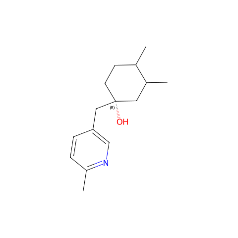 Cc1ccc(C[C@@]2(O)CCC(C)C(C)C2)cn1